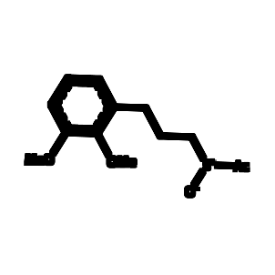 COc1cccc(CCC[S+]([O-])C(C)=O)c1OC